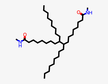 CCCCCCCCCC(CCCCCCCC(=O)NC)C(CCCCCCCCC)CCCCCCCC(=O)NC